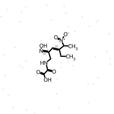 CC/C(=C\C(CNC(=O)C(=O)O)=N/O)C(C)[N+](=O)[O-]